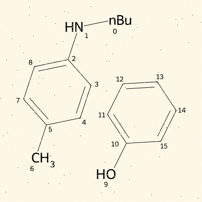 CCCCNc1ccc(C)cc1.Oc1ccccc1